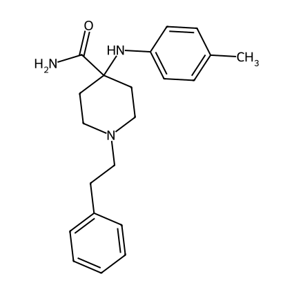 Cc1ccc(NC2(C(N)=O)CCN(CCc3ccccc3)CC2)cc1